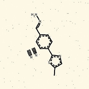 C#N.C#N.Cc1cnc(-c2ccc(C=NN)cc2)s1